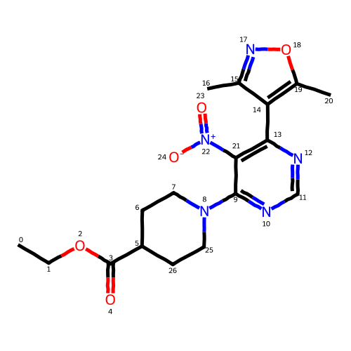 CCOC(=O)C1CCN(c2ncnc(-c3c(C)noc3C)c2[N+](=O)[O-])CC1